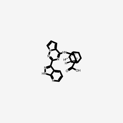 O=C(O)[C@H]1C2CCC(CC2)[C@@H]1Nc1nc(-c2n[nH]c3ncccc23)nn2cccc12